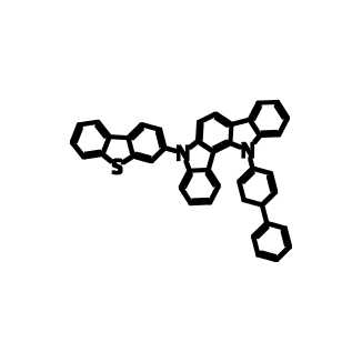 C1=CC(c2ccccc2)CC=C1n1c2ccccc2c2ccc3c(c4ccccc4n3-c3ccc4c(c3)sc3ccccc34)c21